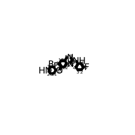 Fc1cccc(Nc2ncc3cc(Br)c(OC4CCNCC4)cc3n2)c1